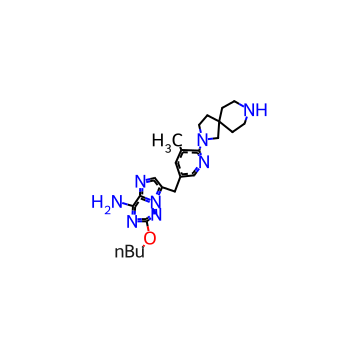 CCCCOc1nc(N)c2ncc(Cc3cnc(N4CCC5(CCNCC5)C4)c(C)c3)n2n1